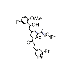 CCC(=O)C[C@H](CCC(=O)CCC(/C=C(C(C)=O)/C(C)=N/OC(C)C)CC(O)c1cc(F)ccc1OC)CC(C)C